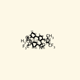 Cc1nc(C(F)(F)F)cn1-c1ccc(-c2cccc(S(C)(=O)=O)c2)cc1-c1ocnc1-c1ccc(OC(F)(F)F)cc1